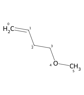 C=C[CH]COC